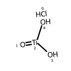 Cl.[O]=[Ti]([OH])[OH]